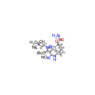 CC(C)COc1c(/C(=N\C#N)NC2C3CC4CC2CC(OC(N)=O)(C4)C3)cnn1/C=C/C(C)(C)C#N